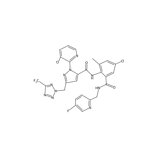 Cc1cc(Cl)cc(C(=O)NCc2ccc(F)cn2)c1NC(=O)c1cc(Cn2nnc(C(F)(F)F)n2)nn1-c1ncccc1Cl